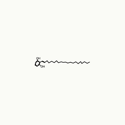 CCCCCCCCCCCCCCCCCCCC=Cc1c(O)cccc1O